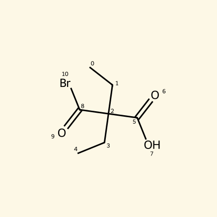 CCC(CC)(C(=O)O)C(=O)Br